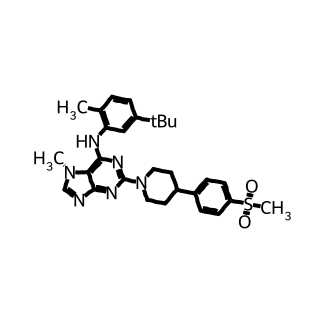 Cc1ccc(C(C)(C)C)cc1Nc1nc(N2CCC(c3ccc(S(C)(=O)=O)cc3)CC2)nc2ncn(C)c12